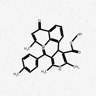 CCCOC(=O)C1=C(C)NC(C)=C(C(=O)c2ccc(C)cc2)C1c1cccc2c(=O)cc(C)oc12